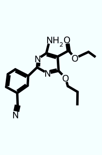 CCCOc1nc(-c2cccc(C#N)c2)nc(N)c1C(=O)OCC